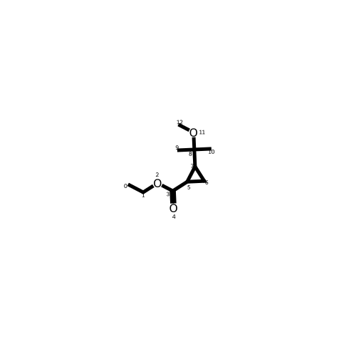 CCOC(=O)C1CC1C(C)(C)OC